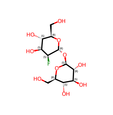 OC[C@H]1O[C@@H](O[C@H]2O[C@H](CO)[C@@H](O)[C@H](O)[C@@H]2F)[C@H](O)[C@@H](O)[C@@H]1O